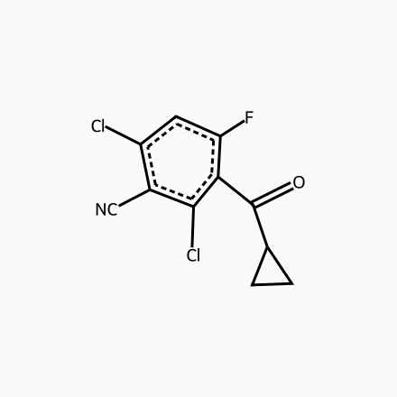 N#Cc1c(Cl)cc(F)c(C(=O)C2CC2)c1Cl